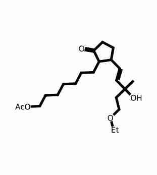 CCOCCC(C)(O)C=CC1CCC(=O)C1CCCCCCCOC(C)=O